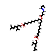 CC(C)CCC(CCOC(=O)CCCCCCCCCC(CCCCCCCCCC(=O)OCCC(CCC(C)C)C(C)C)OC(=O)CCCN1CCCC1)C(C)C